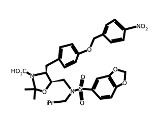 CC(C)CN(C[C@H]1OC(C)(C)N(C(=O)O)[C@H]1Cc1ccc(OCc2ccc([N+](=O)[O-])cc2)cc1)S(=O)(=O)c1ccc2c(c1)OCO2